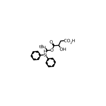 CC(C)(C)C(OC(=O)C(O)CC(=O)O)[SiH](c1ccccc1)c1ccccc1